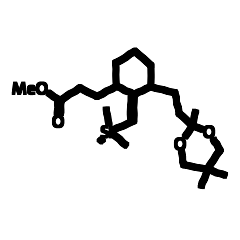 COC(=O)CCC1CCCC(CCC2(C)OCC(C)(C)CO2)C1=C[Si](C)(C)C